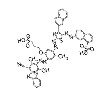 Cc1cc(N=Nc2c(C)c(C#N)c3nc4ccccc4n3c2O)c(OCCCS(=O)(=O)O)cc1N=Nc1nc(-c2ccc3ccccc3c2)c(N=Nc2ccc3cccc(S(=O)(=O)O)c3c2)s1